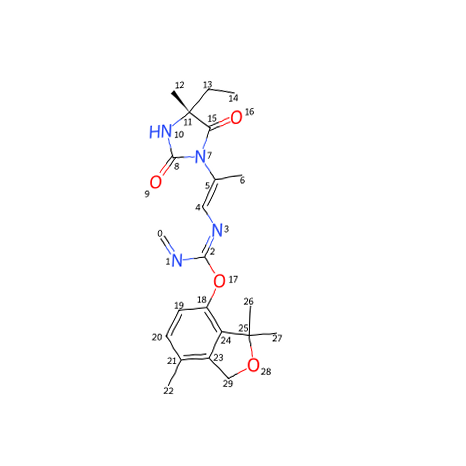 C=N/C(=N\C=C(/C)N1C(=O)N[C@](C)(CC)C1=O)Oc1ccc(C)c2c1C(C)(C)OC2